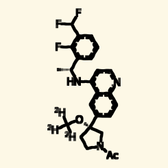 [2H]C([2H])([2H])O[C@@]1(c2ccc3nccc(N[C@H](C)c4cccc(C(F)F)c4F)c3c2)CCN(C(C)=O)C1